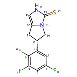 Fc1cc(F)c(F)c([C@@H]2Cc3c[nH]c(=S)n3C2)c1